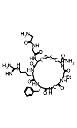 CC[C@@H]1NC(=O)CNC(=O)[C@H](Cc2ccccc2)NC(=O)[C@H](CCCNC(=N)N)NC(=O)[C@@H](NC(=O)CNC(=O)CN)CSSC[C@@H](C(N)=O)NC1=O